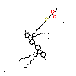 CCCCCCCCC1(CCCCCCCC)c2cc(C)ccc2-c2ccc(-c3ccc4c(c3)[C@@](CCCCC)(CCCCCCCCSCCC(=O)OCC)c3cc(C)ccc3-4)cc21